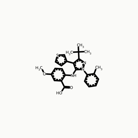 COc1ccc(Nc2c(-c3ccsc3)c(C(C)(C)C)nn2-c2ccccc2C)c(C(=O)O)c1